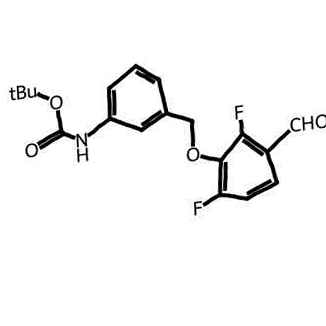 CC(C)(C)OC(=O)Nc1cccc(COc2c(F)ccc(C=O)c2F)c1